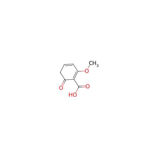 COC1=C(C(=O)O)C(=O)CC=C1